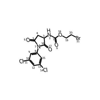 O=C(NC1CC(=O)N(c2cc(Cl)cc(Cl)c2)C1=O)OCCBr